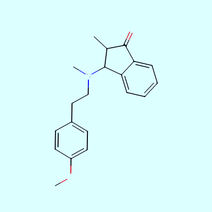 COc1ccc(CCN(C)C2c3ccccc3C(=O)C2C)cc1